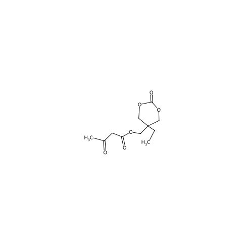 CCC1(COC(=O)CC(C)=O)COC(=O)OC1